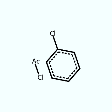 CC(=O)Cl.Clc1ccccc1